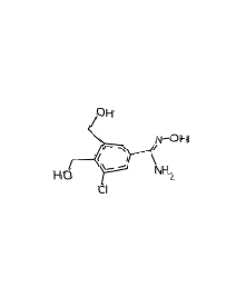 N/C(=N\O)c1cc(Cl)c(CO)c(CO)c1